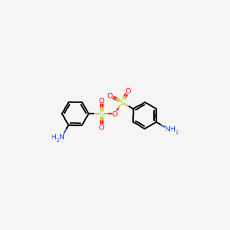 Nc1ccc(S(=O)(=O)OS(=O)(=O)c2cccc(N)c2)cc1